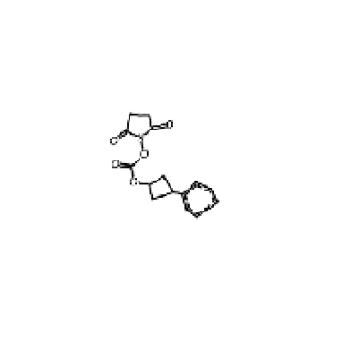 O=C(OC1CC(c2ccccc2)C1)ON1C(=O)CCC1=O